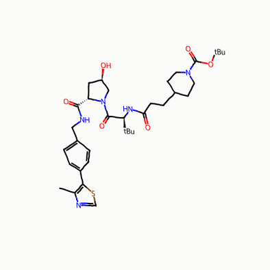 Cc1ncsc1-c1ccc(CNC(=O)[C@@H]2C[C@@H](O)CN2C(=O)[C@@H](NC(=O)CCC2CCN(C(=O)OC(C)(C)C)CC2)C(C)(C)C)cc1